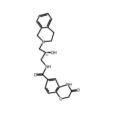 O=C1COc2ccc(C(=O)NC[C@H](O)CN3CCc4ccccc4C3)cc2N1